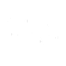 CC([SiH2]C(Cl)Cl)=C(C)[SiH2]C(Cl)Cl